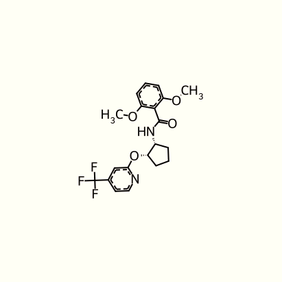 COc1cccc(OC)c1C(=O)N[C@@H]1CCC[C@@H]1Oc1cc(C(F)(F)F)ccn1